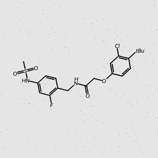 CC(C)(C)c1ccc(OCC(=O)NCc2ccc(NS(C)(=O)=O)cc2F)cc1Cl